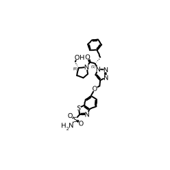 NS(=O)(=O)c1nc2ccc(OCc3cn([C@@H](Cc4ccccc4)C(=O)N4CCC[C@@H]4CO)nn3)cc2s1